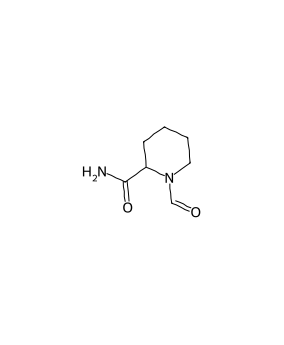 NC(=O)C1CCCCN1C=O